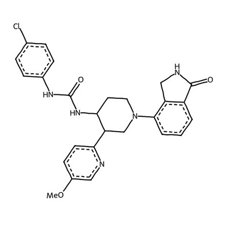 COc1ccc(C2CN(c3cccc4c3CNC4=O)CCC2NC(=O)Nc2ccc(Cl)cc2)nc1